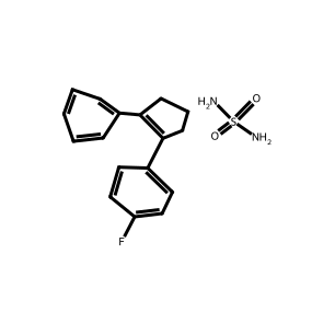 Fc1ccc(C2=C(c3ccccc3)CCC2)cc1.NS(N)(=O)=O